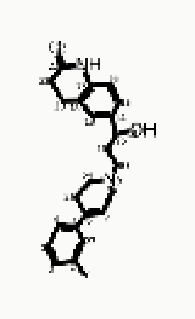 Cc1cccc(C2=CCN(CCC(O)c3ccc4c(c3)CCC(=O)N4)CC2)c1